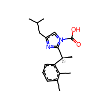 Cc1cccc([C@H](C)c2nc(CC(C)C)cn2C(=O)O)c1C